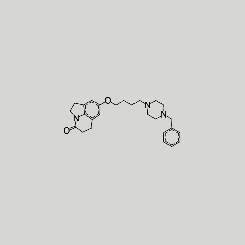 O=C1CCc2cc(OCCCCN3CCN(Cc4ccccc4)CC3)cc3c2N1CC3